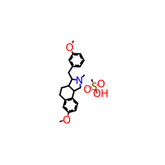 COc1cccc(CC2C3CCc4cc(OC)ccc4C3CN2C)c1.CS(=O)(=O)O